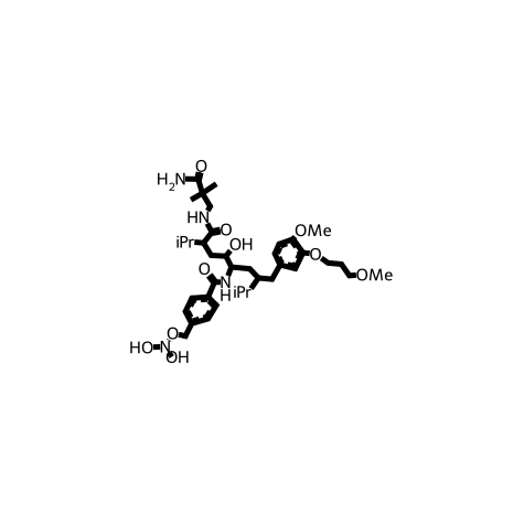 COCCCOc1cc(CC(CC(NC(=O)c2ccc(CON(O)O)cc2)C(O)CC(C(=O)NCC(C)(C)C(N)=O)C(C)C)C(C)C)ccc1OC